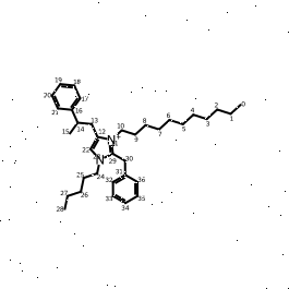 CCCCCCCCCCC[n+]1c(CC(C)c2ccccc2)cn(CCCCC)c1Cc1ccccc1